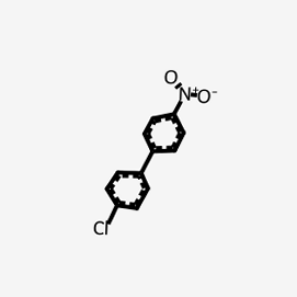 O=[N+]([O-])c1ccc(-c2ccc(Cl)cc2)cc1